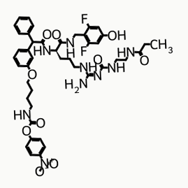 CCC(=O)NCCNC(=O)/N=C(/N)NCCC[C@@H](NC(=O)C(c1ccccc1)c1cccc(OCCCCNC(=O)Oc2ccc([N+](=O)[O-])cc2)c1)C(=O)NCc1c(F)cc(O)cc1F